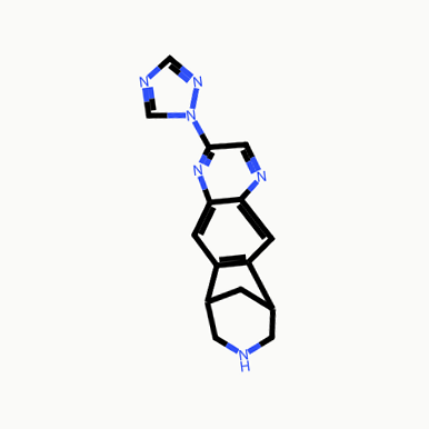 c1ncn(-c2cnc3cc4c(cc3n2)C2CNCC4C2)n1